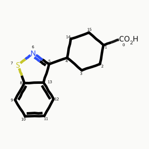 O=C(O)C1CCC(c2nsc3ccccc23)CC1